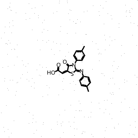 Cc1ccc(N=C2SC(=CC(=O)O)C(=O)N2c2ccc(C)cc2)cc1